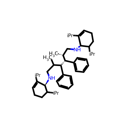 CC(C)C1=CCCC(C(C)C)[C@@H]1NCC(C)C(c1ccccc1)[C@@H](c1ccccc1)[C@H](C)CN[C@H]1C(C(C)C)=CCCC1C(C)C